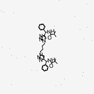 CC(C)C(=O)NC(c1ccccc1)c1cn(CCCCn2cc(C(NC(=O)C(C)C)c3ccccc3)nn2)nn1